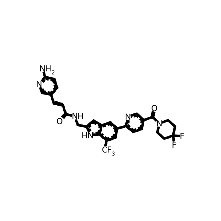 Nc1ccc(C=CC(=O)NCc2cc3cc(-c4ccc(C(=O)N5CCC(F)(F)CC5)cn4)cc(C(F)(F)F)c3[nH]2)cn1